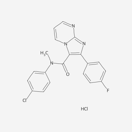 CN(C(=O)c1c(-c2ccc(F)cc2)nc2ncccn12)c1ccc(Cl)cc1.Cl